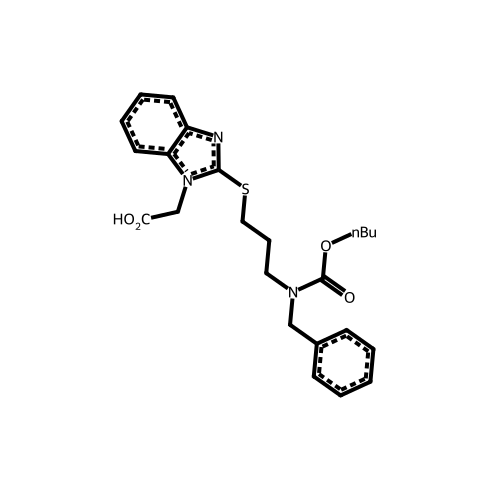 CCCCOC(=O)N(CCCSc1nc2ccccc2n1CC(=O)O)Cc1ccccc1